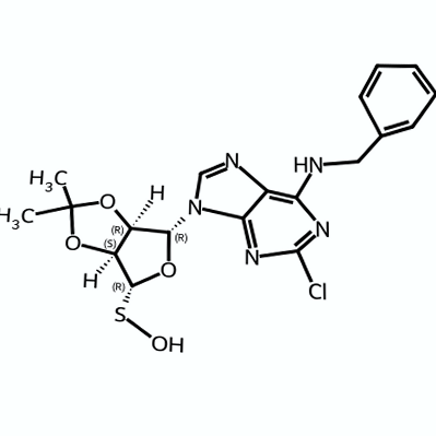 CC1(C)O[C@@H]2[C@H](O1)[C@@H](SO)O[C@H]2n1cnc2c(NCc3ccccc3)nc(Cl)nc21